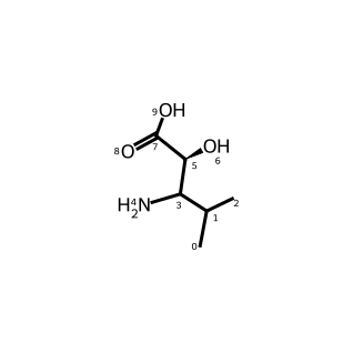 CC(C)C(N)[C@H](O)C(=O)O